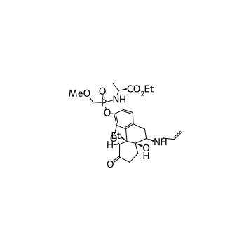 C=CCN[C@@H]1Cc2ccc(OP(=O)(COC)N[C@@H](C)C(=O)OCC)c3c2[C@@]2(CC)[C@@H](O3)C(=O)CC[C@@]12O